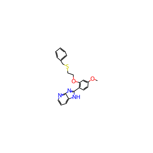 COc1ccc(-c2nc3ncccc3[nH]2)c(OCCSCc2ccccc2)c1